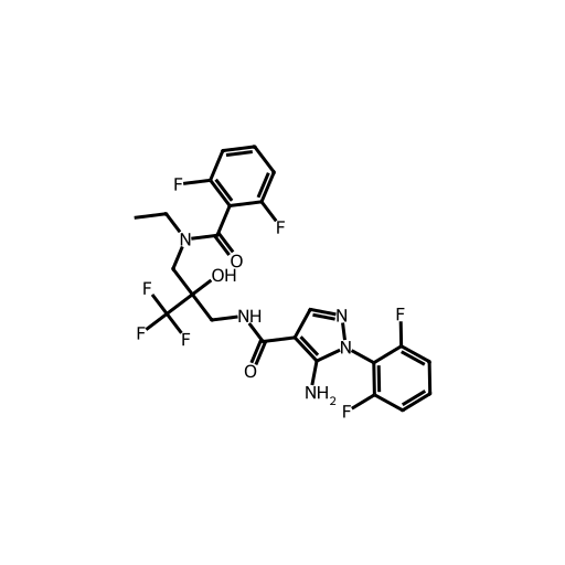 CCN(CC(O)(CNC(=O)c1cnn(-c2c(F)cccc2F)c1N)C(F)(F)F)C(=O)c1c(F)cccc1F